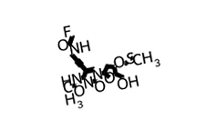 CSCOC1CC(n2cc(C#CCNC(=O)CF)c(NC(C)=O)nc2=O)OC1CO